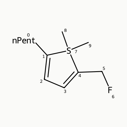 CCCCCC1=CC=C(CF)S1(C)C